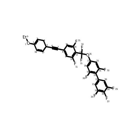 CCOC1=CCC(C#Cc2cc(F)c(C(F)(F)Oc3cc(F)c(-c4cc(F)c(F)c(F)c4)c(F)c3)c(F)c2)C=C1